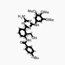 COc1cc(Nc2nc(N)nc(-c3cccc(NC(=O)c4ccc(C(C)(C)C)cc4)c3CO)n2)cc(OC)c1OC